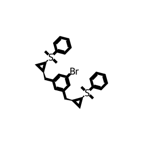 CS(C)(c1ccccc1)[C@@H]1C[C@H]1Cc1cc(Br)cc(C[C@H]2C[C@@H]2S(C)(C)c2ccccc2)c1